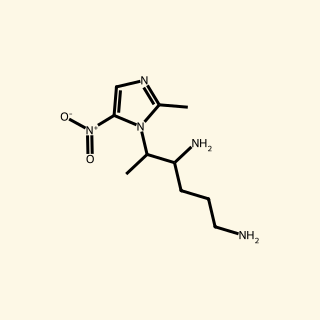 Cc1ncc([N+](=O)[O-])n1C(C)C(N)CCCN